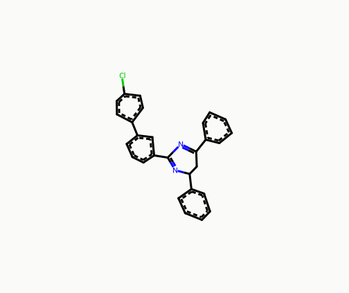 Clc1ccc(-c2cccc(C3=NC(c4ccccc4)CC(c4ccccc4)=N3)c2)cc1